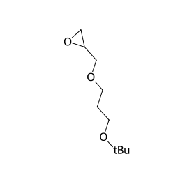 CC(C)(C)OCCCOCC1CO1